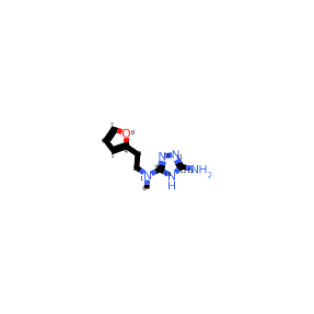 CN(CCc1ccco1)c1nnc(N)[nH]1